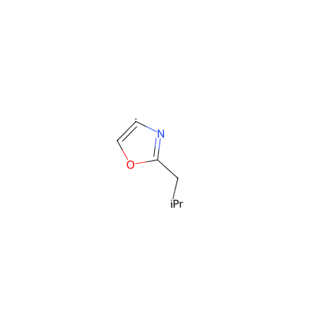 CC(C)Cc1n[c]co1